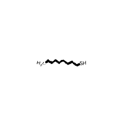 C=CCCCCCCCS